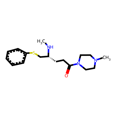 CN[C@H](CCC(=O)N1CCN(C)CC1)CSc1ccccc1